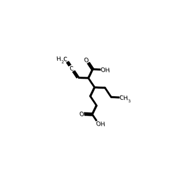 C=C=CC(C(=O)O)C(CCC)CCC(=O)O